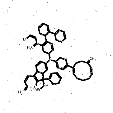 C=C/C=C\C1=C(C)C(NCCC)(C2=CC=CCC2)C2C=C(N(C3=CC=C(/C4=C/CCC/C=C\C(=C)CC4)CC3)C3C=CC(C4CC=CC=C4C4=CC=CCC4)=C(C(=C)/C=C\CC)C3)C=CC12